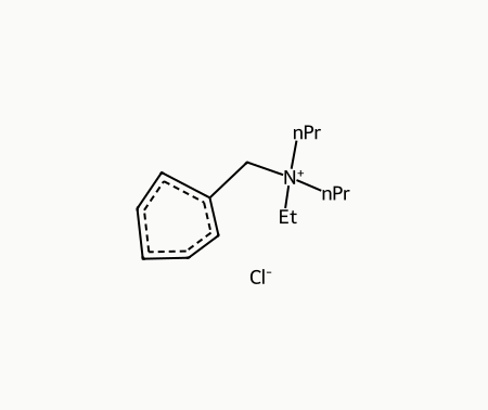 CCC[N+](CC)(CCC)Cc1ccccc1.[Cl-]